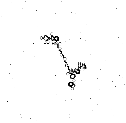 O=C1CCC(N2Cc3c(NC(=O)COCCOCCOCCOCCNC(=O)[C@]4(Cc5cccc(Nc6nccs6)n5)CC[C@@H](Oc5cccc(Cl)c5F)CC4)cccc3C2=O)C(=O)N1